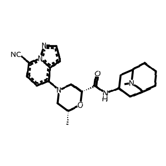 C[C@@H]1CN(c2ccc(C#N)n3nccc23)C[C@H](C(=O)NC2CC3CCCC(C2)N3C)O1